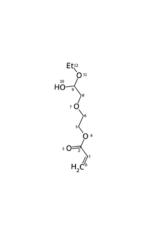 C=CC(=O)OCCOCC(O)OCC